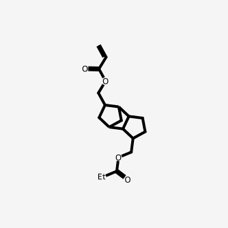 C=CC(=O)OCC1CC2CC1C1CCC(COC(=O)CC)C21